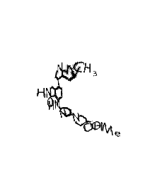 COCC1(O)CCN(c2ccc(Nc3ccc(-c4ccnc5c4ccn5C)c4c3C(=O)NC4)nc2)CC1